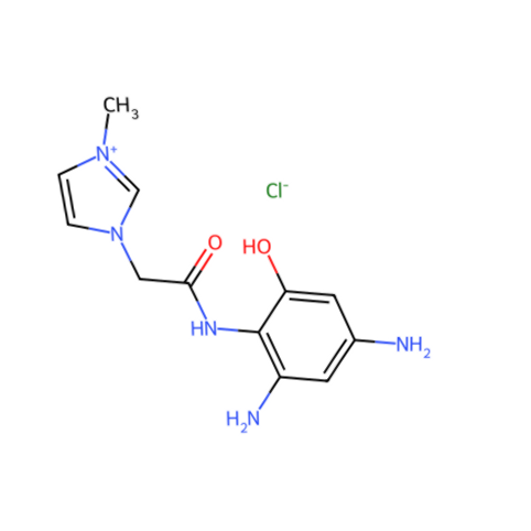 C[n+]1ccn(CC(=O)Nc2c(N)cc(N)cc2O)c1.[Cl-]